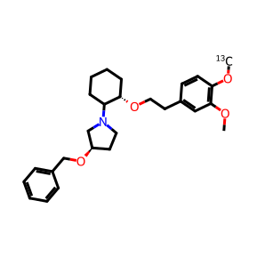 COc1cc(CCO[C@H]2CCCCC2N2CC[C@@H](OCc3ccccc3)C2)ccc1O[13CH3]